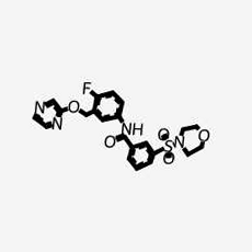 O=C(Nc1ccc(F)c(COc2cnccn2)c1)c1cccc(S(=O)(=O)N2CCOCC2)c1